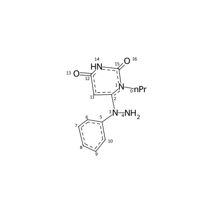 CCCn1c(N(N)c2ccccc2)cc(=O)[nH]c1=O